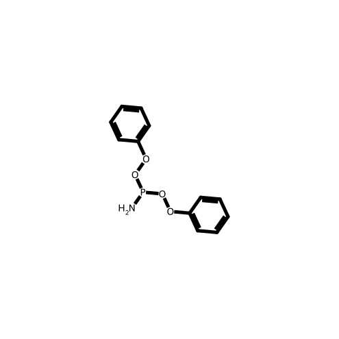 NP(OOc1ccccc1)OOc1ccccc1